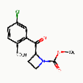 CC(C)(C)OC(=O)N1CCC1C(=O)c1cc(Cl)ccc1C(=O)O